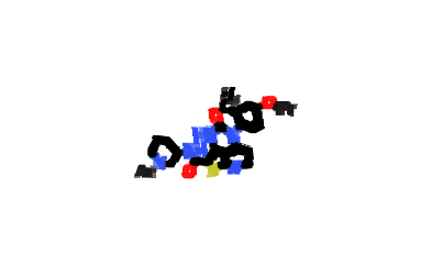 CC(=O)N1CCC[C@@H](NC(=O)c2sc3nccc4c3c2NC(=O)N4c2ccc(OC(C)C)cc2C)C1